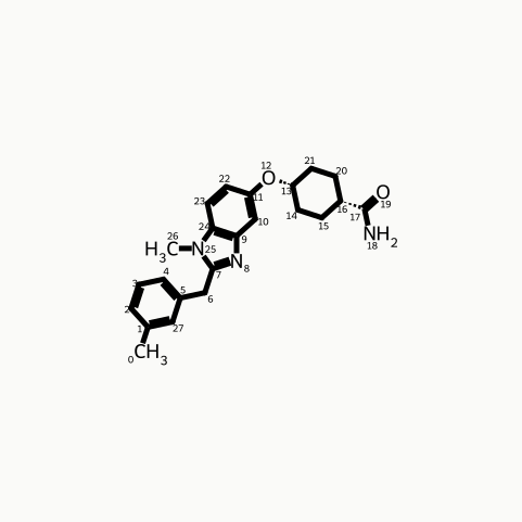 Cc1cccc(Cc2nc3cc(O[C@H]4CC[C@@H](C(N)=O)CC4)ccc3n2C)c1